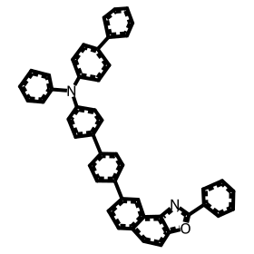 c1ccc(-c2ccc(N(c3ccccc3)c3ccc(-c4ccc(-c5ccc6ccc7oc(-c8ccccc8)nc7c6c5)cc4)cc3)cc2)cc1